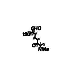 CNC(C)C(=O)CCC[C@H](C=O)C(C)(C)C